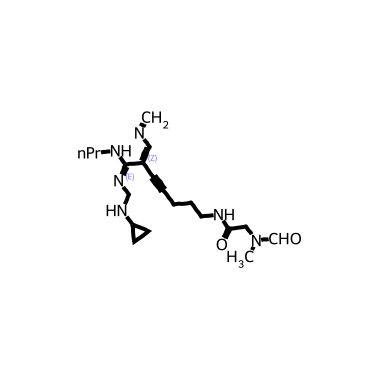 C=N/C=C(C#CCCCNC(=O)CN(C)C=O)\C(=N/CNC1CC1)NCCC